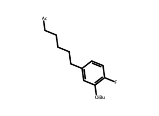 CC(=O)CCCCCc1ccc(F)c(OCC(C)C)c1